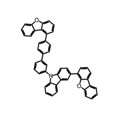 c1cc(-c2ccc(-c3cccc4oc5ccccc5c34)cc2)cc(-n2c3ccccc3c3cc(-c4cccc5c4oc4ccccc45)ccc32)c1